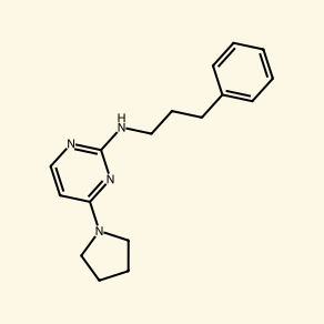 c1ccc(CCCNc2nccc(N3CCCC3)n2)cc1